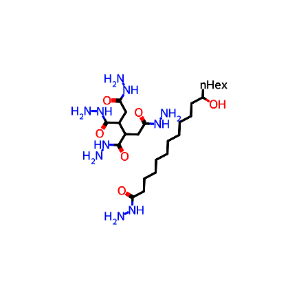 CCCCCCC(O)CCCCCCCCCCC(=O)NN.NNC(=O)CC(C(=O)NN)C(CC(=O)NN)C(=O)NN